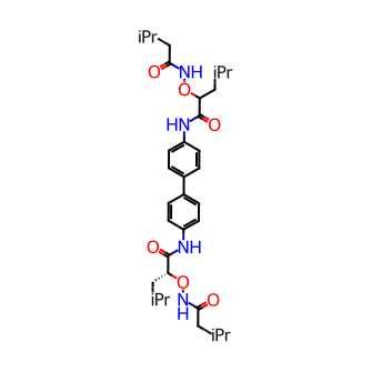 CC(C)CC(=O)NOC(CC(C)C)C(=O)Nc1ccc(-c2ccc(NC(=O)[C@@H](CC(C)C)ONC(=O)CC(C)C)cc2)cc1